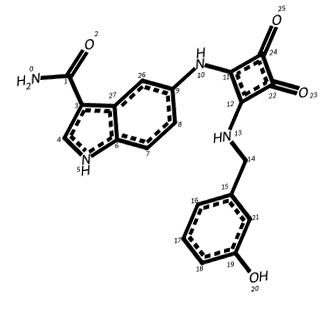 NC(=O)c1c[nH]c2ccc(Nc3c(NCc4cccc(O)c4)c(=O)c3=O)cc12